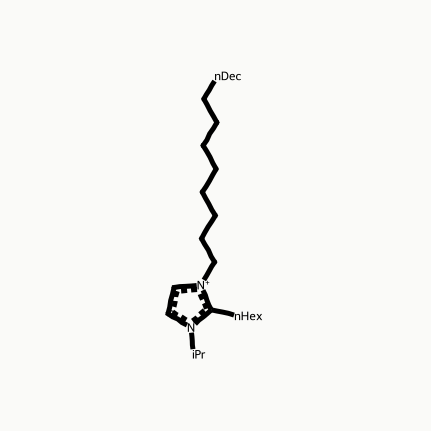 CCCCCCCCCCCCCCCCCC[n+]1ccn(C(C)C)c1CCCCCC